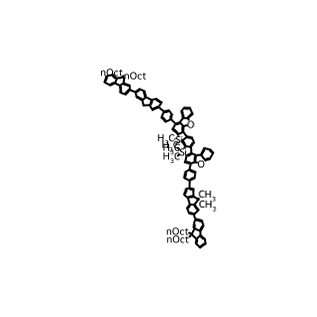 CCCCCCCCC1(CCCCCCCC)c2ccccc2-c2ccc(-c3ccc4c(c3)Cc3cc(-c5ccc(-c6cc7c(c8oc9ccccc9c68)-c6ccc8c(c6[Si]7(C)C)[Si](C)(C)c6cc(-c7ccc(-c9ccc%10c(c9)C(C)(C)c9cc(-c%11ccc%12c(c%11)C(CCCCCCCC)(CCCCCCCC)c%11ccccc%11-%12)ccc9-%10)cc7)c7oc9ccccc9c7c6-8)cc5)ccc3-4)cc21